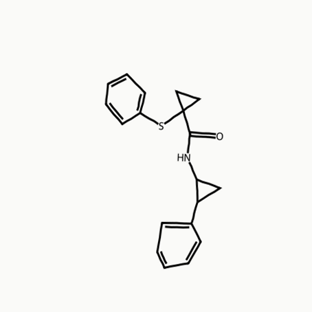 O=C(NC1CC1c1ccccc1)C1(Sc2ccccc2)CC1